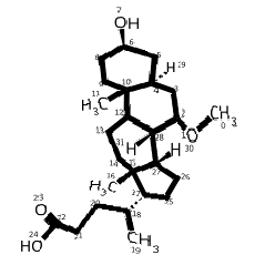 COC1C[C@@H]2C[C@H](O)CCC2(C)C2CCC3(C)[C@@H](C(C)CCC(=O)O)CC[C@H]3[C@@H]12